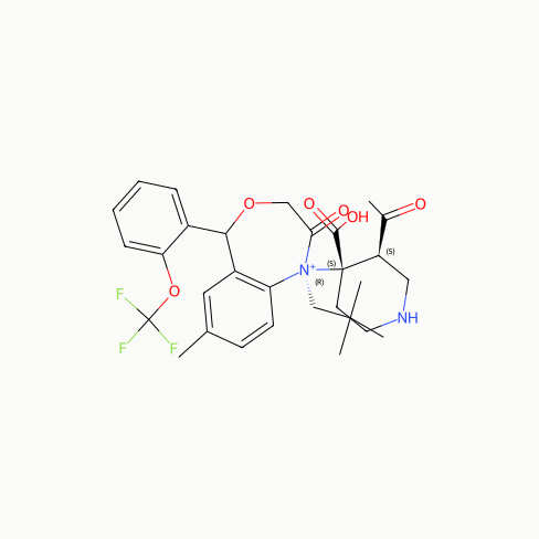 CC(=O)[C@H]1CNCC[C@]1(C(=O)O)[N@+]1(CC(C)(C)C)C(=O)COC(c2ccccc2OC(F)(F)F)c2cc(C)ccc21